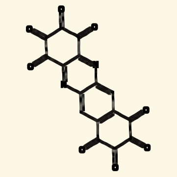 O=c1c(=O)c(=O)c2cc3nc4c(=O)c(=O)c(=O)c(=O)c4nc3cc2c1=O